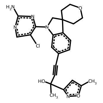 Cc1cc(C(C)(O)C#Cc2ccc3c(c2)N(c2nc(N)ncc2Cl)CC32CCOCC2)no1